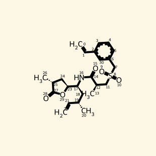 C=Cc1cccc(CS(=O)(=O)C[C@@H](C)C(=O)N[C@@H](C[C@H](C)C=C)[C@@H]2C[C@@H](C)C(=O)O2)c1